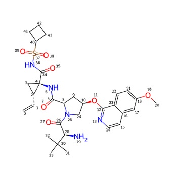 C=C[C@@H]1C[C@]1(NC(=O)C1C[C@@H](Oc2nccc3cc(OC)ccc23)CN1C(=O)[C@@H](N)C(C)(C)C)C(=O)NS(=O)(=O)C1CCC1